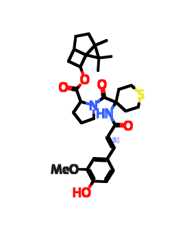 COc1cc(/C=C/C(=O)NC2(C(=O)N3CCCC3C(=O)OC3CC4CCC5(C)C(C)(C)C435)CCSCC2)ccc1O